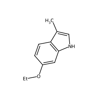 CCOc1ccc2c(C)c[nH]c2c1